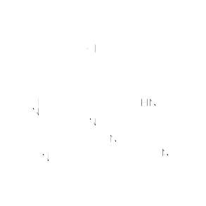 CCC.Cl.c1c[nH]c(N=Nc2ncc[nH]2)n1